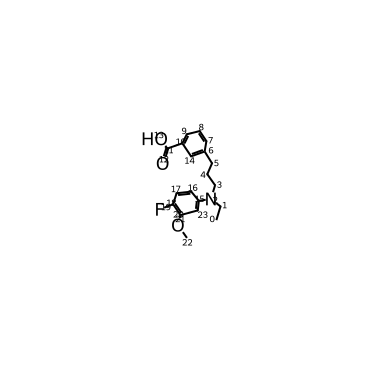 CCN(CCCc1cccc(C(=O)O)c1)c1ccc(F)c(OC)c1